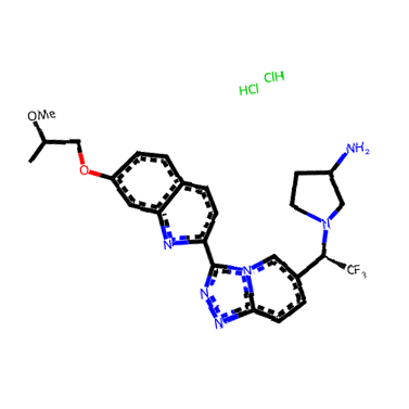 COC(C)COc1ccc2ccc(-c3nnc4ccc([C@@H](N5CCC(N)C5)C(F)(F)F)cn34)nc2c1.Cl.Cl